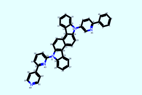 c1ccc(-c2ccc(-n3c4ccccc4c4c5ccc6c(c5ccc43)c3ccccc3n6-c3cccc(-c4ccncc4)n3)cn2)cc1